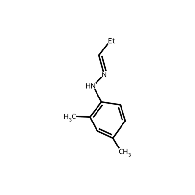 CCC=NNc1ccc(C)cc1C